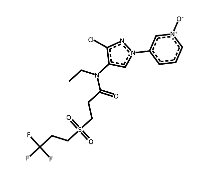 CCN(C(=O)CCS(=O)(=O)CCC(F)(F)F)c1cn(-c2ccc[n+]([O-])c2)nc1Cl